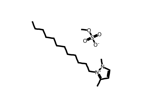 CCCCCCCCCCCC[n+]1c(C)ccn1C.COS(=O)(=O)[O-]